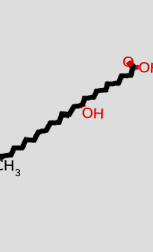 CCCCCCCCCCCC=CCC(O)CCCCCCCCC(=O)O